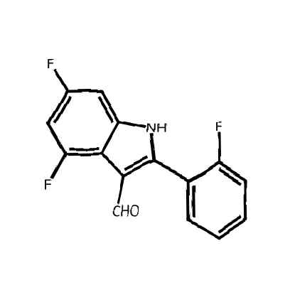 O=Cc1c(-c2ccccc2F)[nH]c2cc(F)cc(F)c12